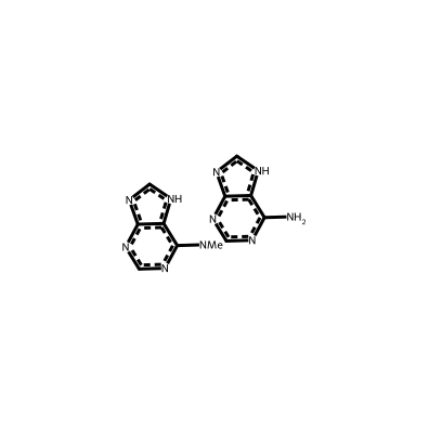 CNc1ncnc2nc[nH]c12.Nc1ncnc2nc[nH]c12